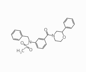 CS(=O)(=O)N(Cc1ccccc1)c1cccc(C(=O)N2CCOC(c3ccccc3)C2)c1